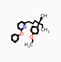 C#CC(CC)(CCCc1cccc(Oc2ccccc2)n1)c1ccc(OCC)cc1